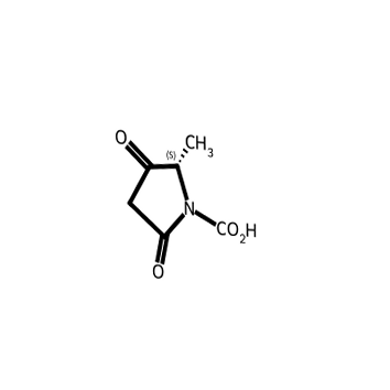 C[C@H]1C(=O)CC(=O)N1C(=O)O